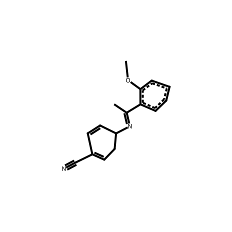 COc1ccccc1C(C)=NC1C=CC(C#N)=CC1